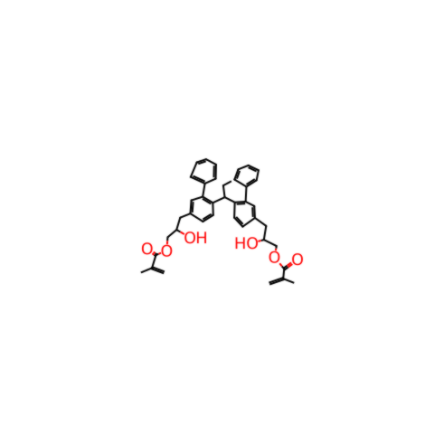 C=C(C)C(=O)OCC(O)Cc1ccc(C(CC)c2ccc(CC(O)COC(=O)C(=C)C)cc2-c2ccccc2)c(-c2ccccc2)c1